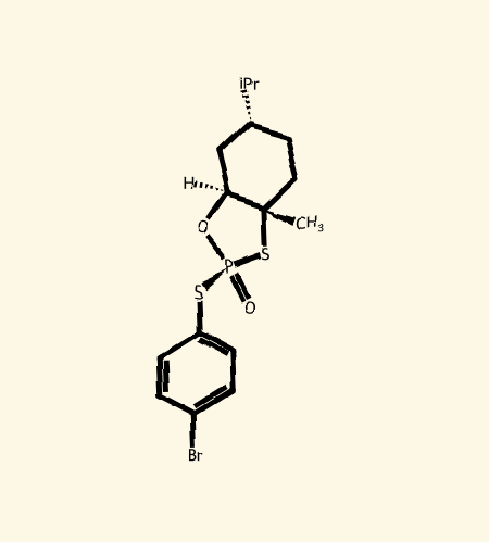 CC(C)[C@@H]1CC[C@]2(C)S[P@@](=O)(Sc3ccc(Br)cc3)O[C@H]2C1